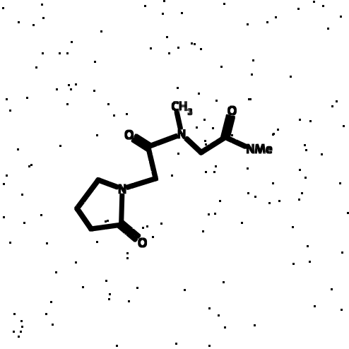 CNC(=O)CN(C)C(=O)CN1CCCC1=O